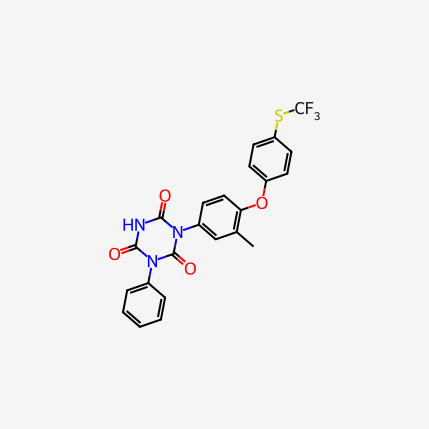 Cc1cc(-n2c(=O)[nH]c(=O)n(-c3ccccc3)c2=O)ccc1Oc1ccc(SC(F)(F)F)cc1